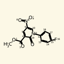 COC(=O)c1cc([N+](=O)[O-])cn(-c2ccc(F)cc2)c1=O